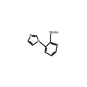 CC(=O)Nc1ccccc1-n1ccnc1